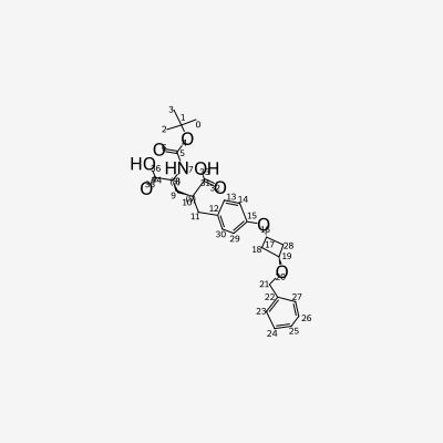 CC(C)(C)OC(=O)N[C@@H](C[C@H](Cc1ccc(O[C@H]2C[C@H](OCc3ccccc3)C2)cc1)C(=O)O)C(=O)O